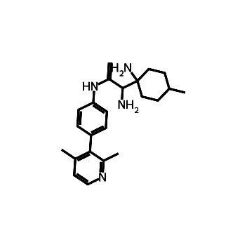 C=C(Nc1ccc(-c2c(C)ccnc2C)cc1)C(N)C1(N)CCC(C)CC1